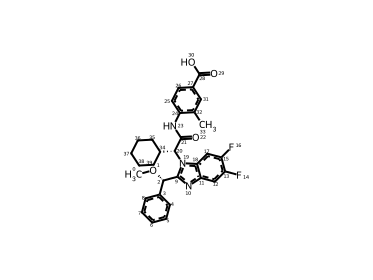 CO[C@@H](c1ccccc1)c1nc2cc(F)c(F)cc2n1[C@@H](C(=O)Nc1ccc(C(=O)O)cc1C)C1CCCCC1